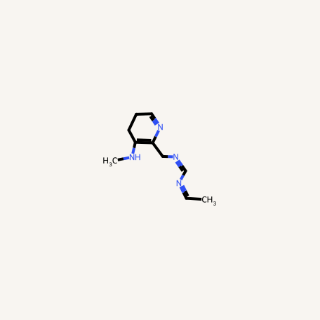 C/C=N\C=N/CC1=C(NC)CCC=N1